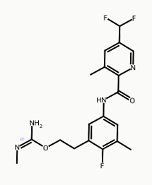 C/N=C(/N)OCCc1cc(NC(=O)c2ncc(C(F)F)cc2C)cc(C)c1F